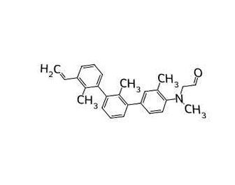 C=Cc1cccc(-c2cccc(-c3ccc(N(C)CC=O)c(C)c3)c2C)c1C